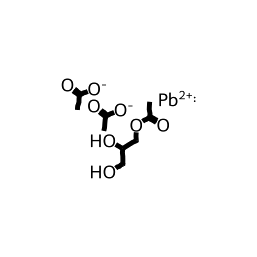 CC(=O)OCC(O)CO.CC(=O)[O-].CC(=O)[O-].[Pb+2]